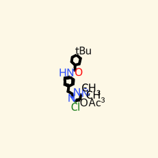 CC(=O)Oc1c(Cl)nc(Cc2ccc(NC(=O)C3CCC(C(C)(C)C)CC3)cc2)nc1N(C)C